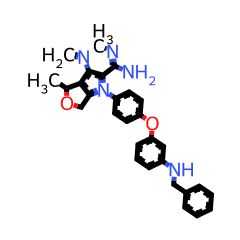 C=Nc1c2c(n(-c3ccc(Oc4cccc(NCc5ccccc5)c4)cc3)c1/C(N)=N\C)COC2C